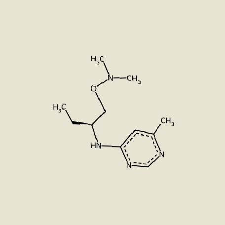 CC[C@@H](CON(C)C)Nc1cc(C)ncn1